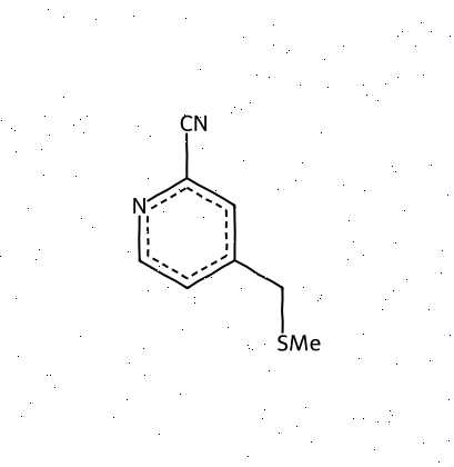 CSCc1ccnc(C#N)c1